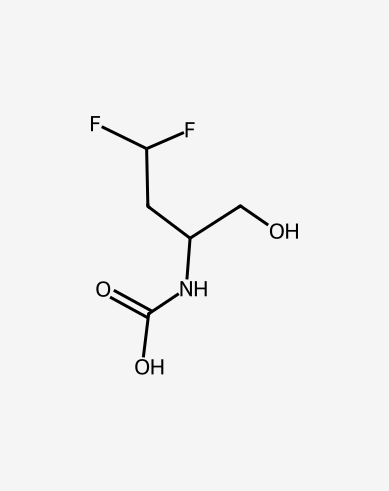 O=C(O)NC(CO)CC(F)F